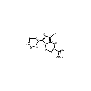 CNC(=O)N1CCn2c(C3CCOCC3)nc(I)c2C1